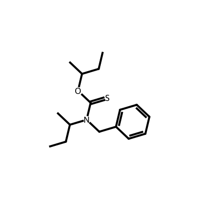 CCC(C)OC(=S)N(Cc1ccccc1)C(C)CC